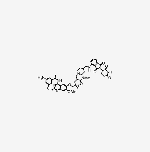 CNC(=O)C(CN1CCC(CNc2cccc3c2C(=O)N(C2CCC(=O)NC2=O)C3=O)CC1)CC1(COc2cc3c(NC(C)c4cc(N)cc(C(F)(F)F)c4)nc(C)nc3cc2OC)CC1